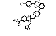 O=C(O)c1ccc2nc(CC3CC=C(c4cccc5c4OC(c4ccc(Cl)cn4)CO5)CO3)n(C[C@@H]3CCO3)c2c1